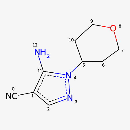 N#Cc1cnn(C2CCOCC2)c1N